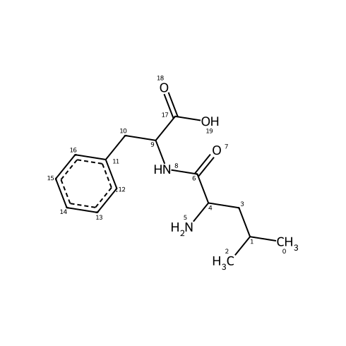 CC(C)CC(N)C(=O)NC(Cc1[c]cccc1)C(=O)O